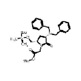 CC(C)(C)OC(=O)CN1C(=O)[C@@H](N(Cc2ccccc2)Cc2ccccc2)C[C@H]1CO[Si](C)(C)C(C)(C)C